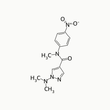 CN(C(=O)c1cnn(N(C)C)c1)c1ccc([N+](=O)[O-])cc1